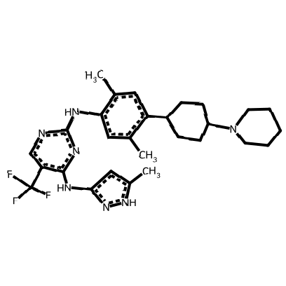 Cc1cc(Nc2nc(Nc3cc(C)c(C4CCC(N5CCCCC5)CC4)cc3C)ncc2C(F)(F)F)n[nH]1